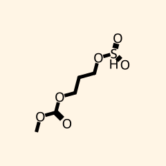 COC(=O)OCCCO[SH](=O)=O